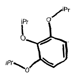 CC(C)Oc1[c]ccc(OC(C)C)c1OC(C)C